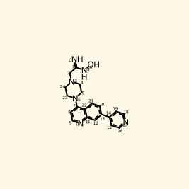 N=C(CN1CCN(c2ccnc3cc(-c4ccncc4)ccc23)CC1)NO